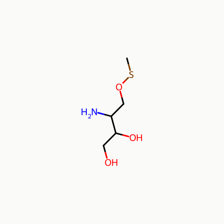 CSOCC(N)C(O)CO